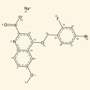 COc1ccc2nc(C(=O)[O-])cc(OCc3ccc(Br)cc3F)c2c1.[Na+]